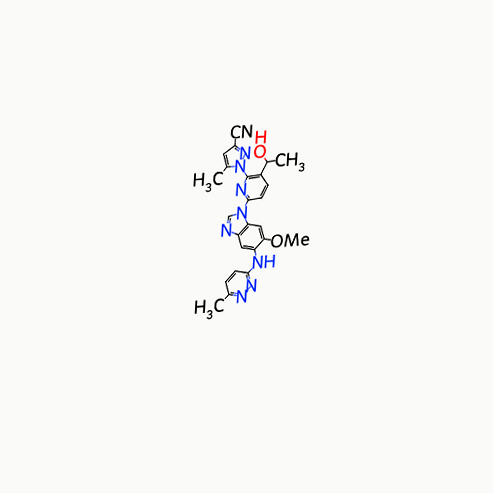 COc1cc2c(cc1Nc1ccc(C)nn1)ncn2-c1ccc(C(C)O)c(-n2nc(C#N)cc2C)n1